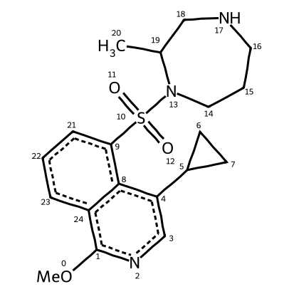 COc1ncc(C2CC2)c2c(S(=O)(=O)N3CCCNCC3C)cccc12